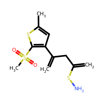 C=C(CC(=C)c1cc(C)sc1S(C)(=O)=O)SN